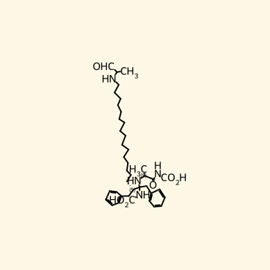 CC(C=O)NCCCCCCCCCCCCCCCC[C@@H](Cc1ccccc1)C(Cc1ccccc1)(NC(=O)O)N[C@@H](C)C(=O)NC(=O)O